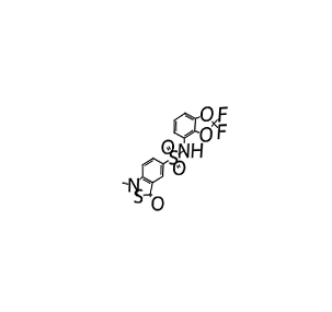 Cn1sc(=O)c2cc(S(=O)(=O)Nc3cccc4c3OC(F)(F)O4)ccc21